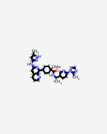 COC1(C(=O)N[C@@H](C)c2ccc(-n3ncnc3C)nc2)CCC(c2nc(Nc3cc(C)[nH]n3)cc3cccnc23)CC1